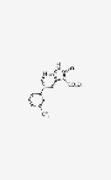 CCOC(=O)n1c(=O)[nH]c2ncc(-c3cccc(C(F)(F)F)c3)cc21